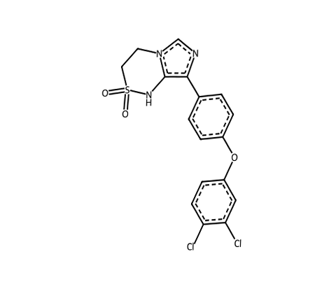 O=S1(=O)CCn2cnc(-c3ccc(Oc4ccc(Cl)c(Cl)c4)cc3)c2N1